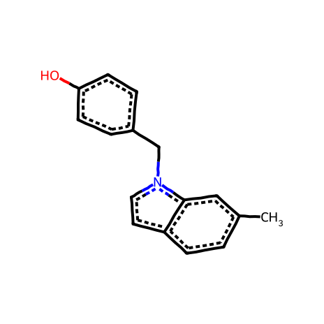 Cc1ccc2ccn(Cc3ccc(O)cc3)c2c1